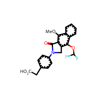 COc1c2c(c(OC(F)F)c3ccccc13)CN(c1ccc(CC(=O)O)cc1)C2=O